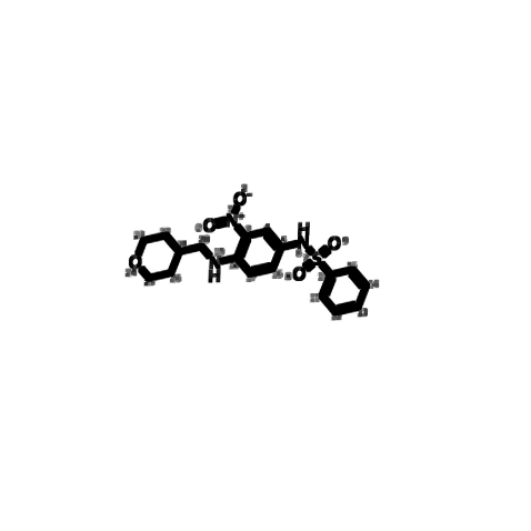 O=[N+]([O-])c1cc(NS(=O)(=O)c2ccccc2)ccc1NCC1CCOCC1